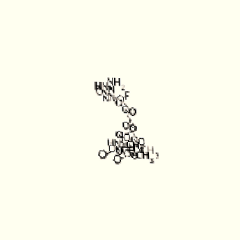 CC(C)[C@H](NC(=O)OCc1ccccc1)C(=O)OCC(COC(=O)[C@@H](NC(=O)OCc1ccccc1)C(C)C)OC(=O)CCC(=O)OC[C@H]1O[C@@H](n2cnc3c(=O)[nH]c(N)nc32)C[C@@H]1F